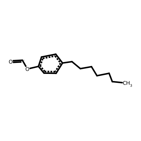 CCCCCCCc1ccc(O[C]=O)cc1